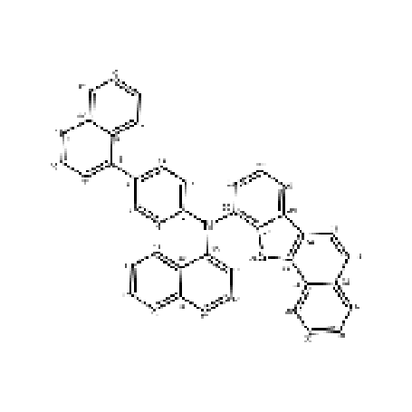 c1ccc2c(-c3ccc(N(c4cccc5ccccc45)c4cccc5c4sc4c6ccccc6ccc54)cc3)cccc2c1